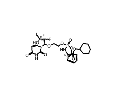 C[C@H](NP(=O)(OCCOC(n1ccc(=O)[nH]c1=O)[C@](C)(F)[C@H](O)I)Oc1ccccc1)C(=O)OC1CCCCC1